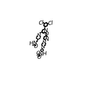 CC(=O)NCC1CCN(Cc2cc(Oc3ccc(N4CCN([C@H]5C[C@H](NS(C)(=O)=O)C5)CC4)nc3)nc(-c3cc(Cl)cc(Cl)c3)c2)CC1